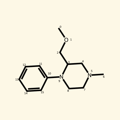 COCC1CN(C)CCN1c1ccccc1